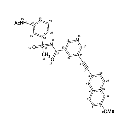 COc1ccc2cc(C#Cc3cncc(C(=O)N=S(C)(=O)c4cccc(NC(C)=O)c4)c3)ccc2c1